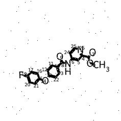 COC(=O)c1cc(NC(=O)c2ccc(Oc3ccc(F)cc3)cc2)ccn1